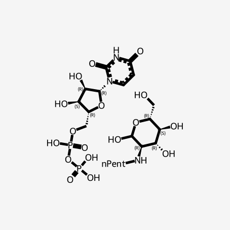 CCCCCN[C@H]1C(O)O[C@H](CO)[C@@H](O)[C@@H]1O.O=c1ccn([C@@H]2O[C@H](COP(=O)(O)OP(=O)(O)O)[C@@H](O)[C@H]2O)c(=O)[nH]1